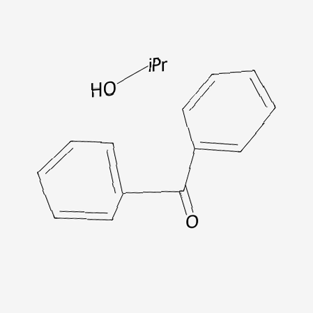 CC(C)O.O=C(c1ccccc1)c1ccccc1